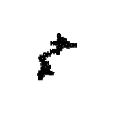 O=C(NCCCCCOc1cccc(NCC(O)Cn2c3ccc(Br)cc3c3cc(Br)ccc32)c1)c1ccc(-c2c3ccc(=O)cc-3oc3cc(O)ccc23)c(C(=O)O)c1